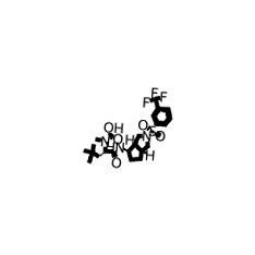 CN(C(=O)O)[C@@H](CC(C)(C)C)C(=O)N[C@@H]1CC[C@H]2CN(S(=O)(=O)c3cccc(C(F)(F)F)c3)C[C@H]21